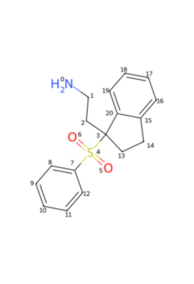 NCCC1(S(=O)(=O)c2ccccc2)CCc2ccccc21